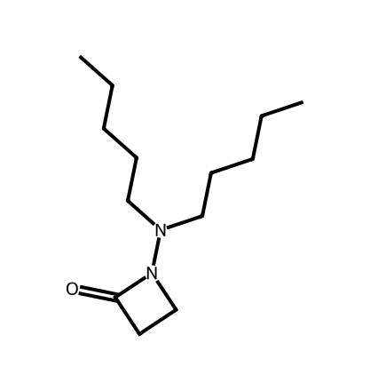 CCCCCN(CCCCC)N1CCC1=O